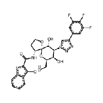 O=C(N[C@@H]1CCO[C@]12O[C@H](CO)[C@H](O)[C@H](n1cc(-c3cc(F)c(F)c(F)c3)nn1)[C@H]2O)c1sc2ccccc2c1Cl